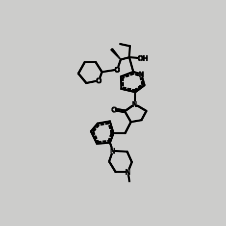 CCC(O)(c1ccc(N2CCC(Cc3ccccc3N3CCN(C)CC3)C2=O)cn1)[C@H](C)OC1CCCCO1